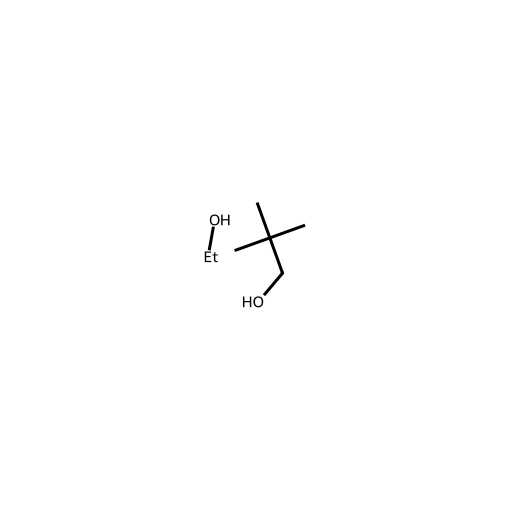 CC(C)(C)CO.CCO